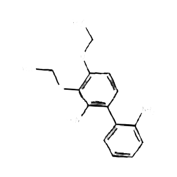 CCOc1ccc(-c2ccccc2N)c(N)c1OCC